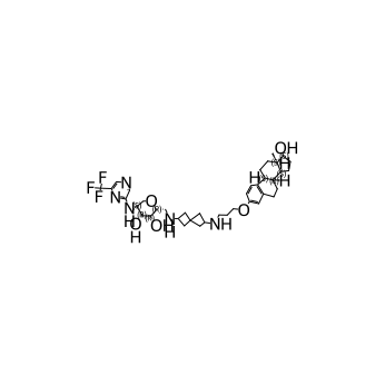 C[C@]12CC[C@@H]3c4ccc(OCCCNC5CC6(C5)CC(NC[C@H]5OC[C@H](Nc7cncc(C(F)(F)F)n7)[C@@H](O)[C@H]5O)C6)cc4CC[C@H]3[C@@H]1CC[C@@H]2O